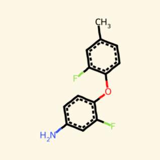 Cc1ccc(Oc2ccc(N)cc2F)c(F)c1